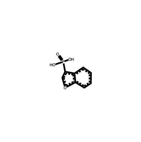 O=P(O)(O)c1coc2ccccc12